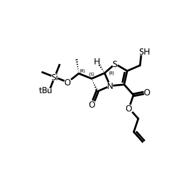 C=CCOC(=O)C1=C(CS)S[C@@H]2[C@@H]([C@@H](C)O[Si](C)(C)C(C)(C)C)C(=O)N12